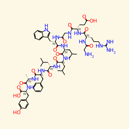 CC(C)C[C@H](NC(=O)[C@H](Cc1c[nH]c2ccccc12)NC(=O)CNC(=O)[C@H](CCC(=O)O)NC(=O)[C@H](CCCNC(=N)N)NC(=O)CN)C(=O)N[C@@H](CC(C)C)C(=O)N[C@@H](CC(C)C)C(=O)N[C@@H](Cc1ccccc1)C(=O)N[C@@H](C)C(=O)N[C@@H](Cc1ccc(O)cc1)C(=O)O